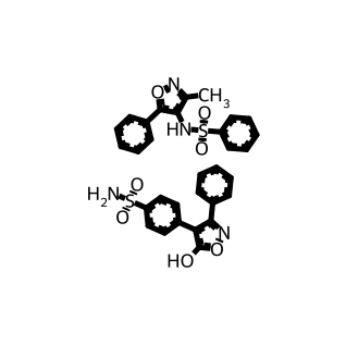 Cc1noc(-c2ccccc2)c1NS(=O)(=O)c1ccccc1.NS(=O)(=O)c1ccc(-c2c(-c3ccccc3)noc2O)cc1